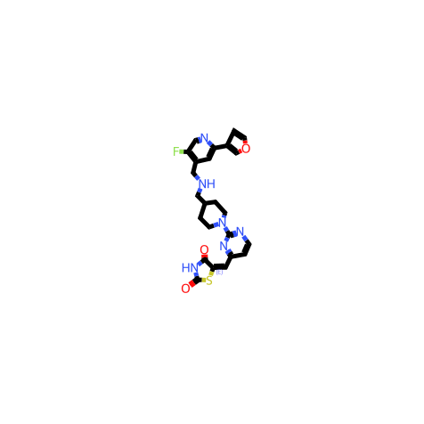 O=C1NC(=O)/C(=C\c2ccnc(N3CCC(CNCc4cc(-c5ccoc5)ncc4F)CC3)n2)S1